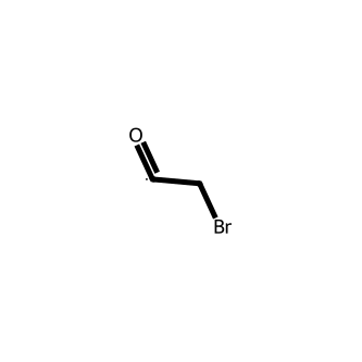 O=[C]CBr